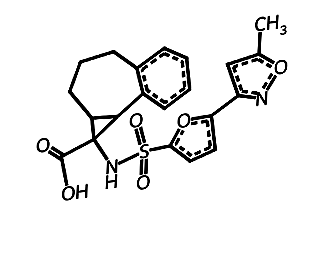 Cc1cc(-c2ccc(S(=O)(=O)NC3(C(=O)O)C4CCCc5ccccc5C43)o2)no1